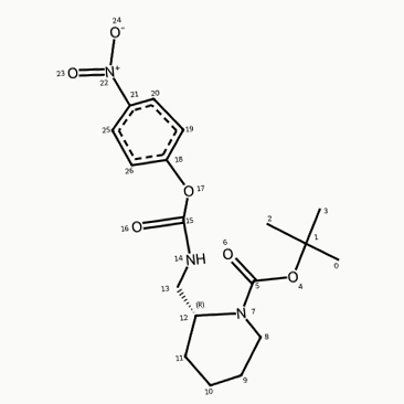 CC(C)(C)OC(=O)N1CCCC[C@@H]1CNC(=O)Oc1ccc([N+](=O)[O-])cc1